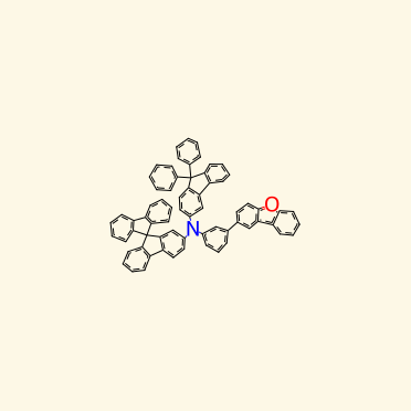 c1ccc(C2(c3ccccc3)c3ccccc3-c3cc(N(c4cccc(-c5ccc6oc7ccccc7c6c5)c4)c4ccc5c(c4)C4(c6ccccc6-c6ccccc64)c4ccccc4-5)ccc32)cc1